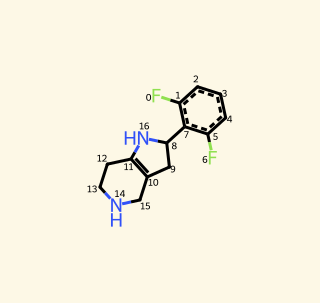 Fc1cccc(F)c1C1CC2=C(CCNC2)N1